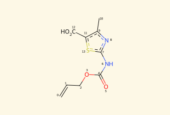 C=CCOC(=O)Nc1nc(C)c(C(=O)O)s1